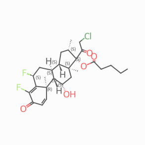 CCCCC(=O)O[C@@]1(C(=O)CCl)[C@@H](C)C[C@H]2[C@@H]3C[C@H](F)C4=C(F)C(=O)C=C[C@]4(C)[C@H]3[C@@H](O)C[C@@]21C